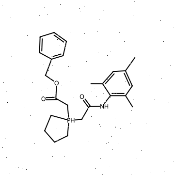 Cc1cc(C)c(NC(=O)C[PH]2(CC(=O)OCc3ccccc3)CCCC2)c(C)c1